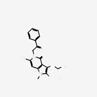 CCOC(=O)c1c(OCC(F)(F)F)c2c(=O)n(CC(=O)c3ccccc3)c(CC)cc2n1C